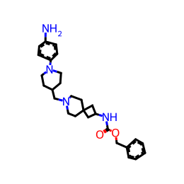 Nc1ccc(N2CCC(CN3CCC4(CC3)CC(NC(=O)OCc3ccccc3)C4)CC2)cc1